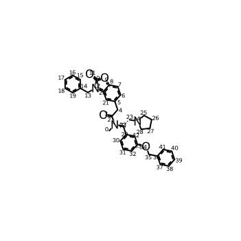 CN(C(=O)Cc1ccc2oc(=O)n(Cc3ccccc3)c2c1)[C@H](CN1CCCC1)c1cccc(OCc2ccccc2)c1